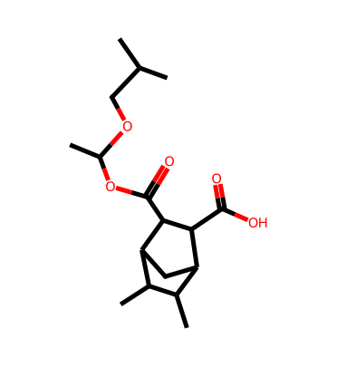 CC(C)COC(C)OC(=O)C1C2CC(C(C)C2C)C1C(=O)O